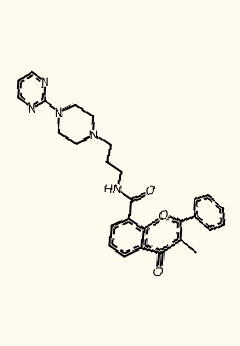 Cc1c(-c2ccccc2)oc2c(C(=O)NCCCN3CCN(c4ncccn4)CC3)cccc2c1=O